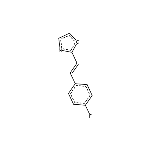 Fc1ccc(C=Cc2ncco2)cc1